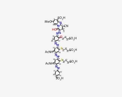 COc1cc(S(=O)(=O)O)c2nc3c(C#N)c(C)c(N=Nc4cc(C)c(N=Nc5cc(NC(C)=O)c(N=Nc6cc(NC(C)=O)c(N=Nc7ccc(S(=O)(=O)O)cc7)cc6SCCCS(=O)(=O)O)cc5SCCCS(=O)(=O)O)cc4OCCCS(=O)(=O)O)c(O)n3c2c1